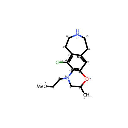 COCCN1CC(C)Oc2cc3c(c(Cl)c21)CCNCC3